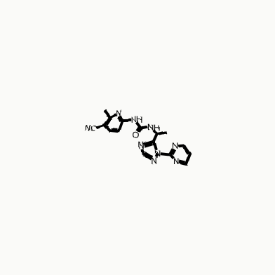 Cc1nc(NC(=O)NC(C)c2ncnn2-c2ncccn2)ccc1C#N